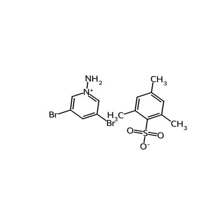 Cc1cc(C)c(S(=O)(=O)[O-])c(C)c1.N[n+]1cc(Br)cc(Br)c1